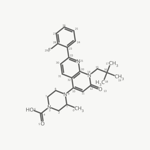 CC1CN(C(=O)O)CCN1c1cc(=O)n(CC(C)(C)C)c2nc(-c3ccccc3F)ccc12